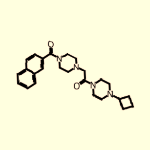 O=C(CN1CCN(C(=O)c2ccc3ccccc3c2)CC1)N1CCN(C2CCC2)CC1